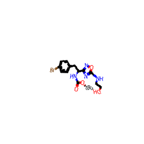 CC(C)(C)OC(=O)NC(Cc1ccc(Br)cc1)c1noc(NCCO)n1